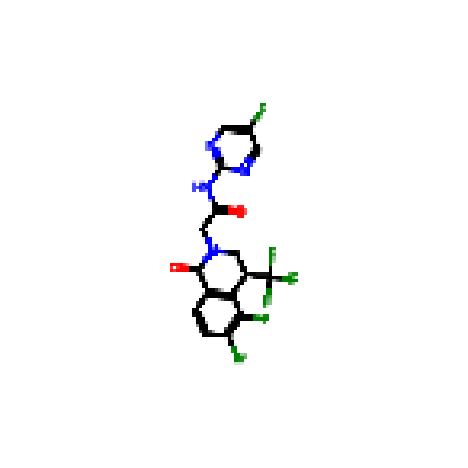 O=C(CN1C[C@@H](C(F)(F)F)c2c(ccc(Br)c2F)C1=O)Nc1ncc(F)cn1